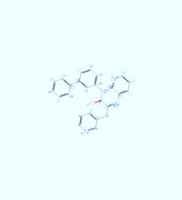 O=c1c(Cc2cccnc2)nc2cccnc2n1-c1cccc(-c2ccccc2)c1